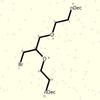 CCCCCCCCCCCCOCC(CBr)OCCCCCCCCCCCC